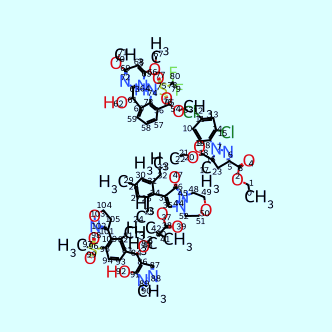 CCOC(=O)C1=NN(c2ccc(Cl)cc2Cl)C(C)(C(=O)OCC)C1.CCc1cc(C)cc(CC)c1-c1c(OC(=O)C(C)(C)C)n2n(c1=O)CCOCC2.COCc1cccc(C(O)c2nc(OC)cc(OC)n2)c1NS(=O)(=O)C(F)F.Cc1c(C(=O)c2cnn(C)c2O)ccc(S(C)(=O)=O)c1C1=NOCC1